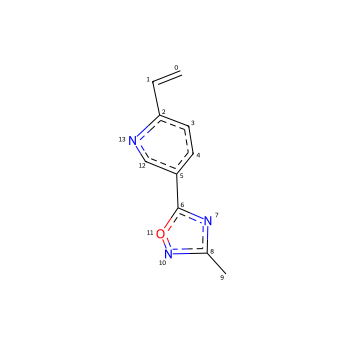 C=Cc1ccc(-c2nc(C)no2)cn1